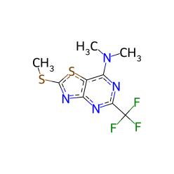 CSc1nc2nc(C(F)(F)F)nc(N(C)C)c2s1